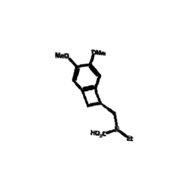 CCN(C[C@H]1Cc2cc(OC)c(OC)cc21)C(=O)O